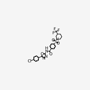 O=C(Nc1nnc(-c2ccc(Cl)cc2)o1)c1ccc(S(=O)(=O)N2CCCC(C(F)(F)F)C2)cc1